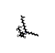 CCCCCCCC/C=C\CCCCCCCCN(C)C.O=C(O)COc1cc(Cl)c(Cl)cc1Cl